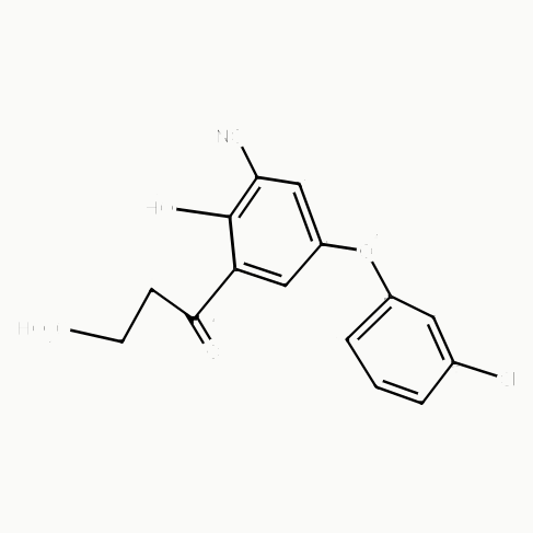 N#Cc1cc(Oc2cccc(Cl)c2)cc(C(=O)CCC(=O)O)c1O